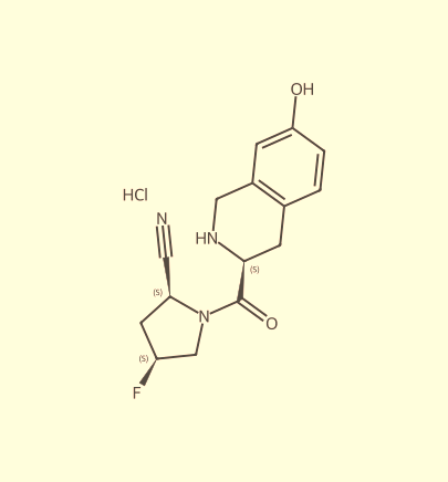 Cl.N#C[C@@H]1C[C@H](F)CN1C(=O)[C@@H]1Cc2ccc(O)cc2CN1